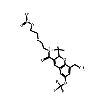 CCc1cc(OC(F)(F)F)cc2c1OC(C(F)(F)F)C(C(=O)NCCOCCO[N+](=O)[O-])=C2